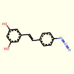 [N-]=[N+]=Nc1ccc(/C=C/c2cc(O)cc(O)c2)cc1